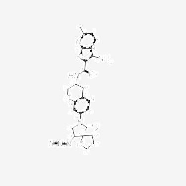 Cc1ccc2c(N)c(C(=O)N[C@H]3COc4cc(N5CC(N=[N+]=[N-])[C@@]6(C5)OCC[C@@H]6C)ccc4C3)sc2n1